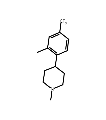 Cc1cc(C(F)(F)F)ccc1C1CCN(C)CC1